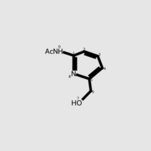 CC(=O)Nc1cccc(CO)n1